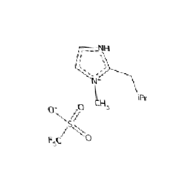 CC(C)Cc1[nH]cc[n+]1C.O=S(=O)([O-])C(F)(F)F